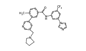 Cc1ccc(C(=O)Nc2cc(-n3ccnc3)cc(C(F)(F)F)c2)cc1-c1cncc(CN2CCCC2)c1